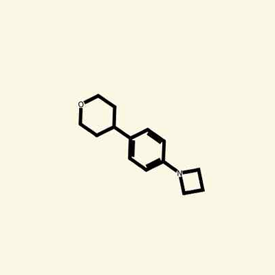 c1cc(N2CCC2)ccc1C1CCOCC1